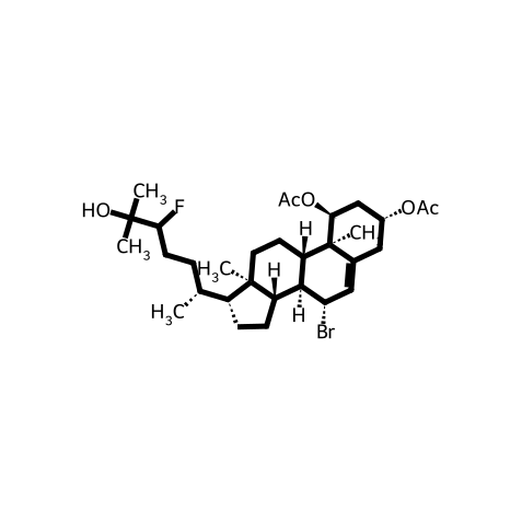 CC(=O)O[C@@H]1CC2=C[C@H](Br)[C@H]3[C@@H]4CC[C@H]([C@H](C)CCC(F)C(C)(C)O)[C@@]4(C)CC[C@@H]3[C@@]2(C)[C@@H](OC(C)=O)C1